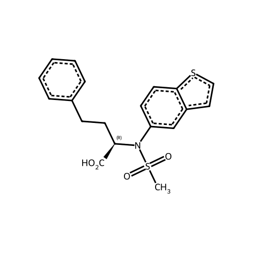 CS(=O)(=O)N(c1ccc2sccc2c1)[C@H](CCc1ccccc1)C(=O)O